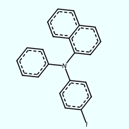 Ic1ccc(N(c2ccccc2)c2cccc3ccccc23)cc1